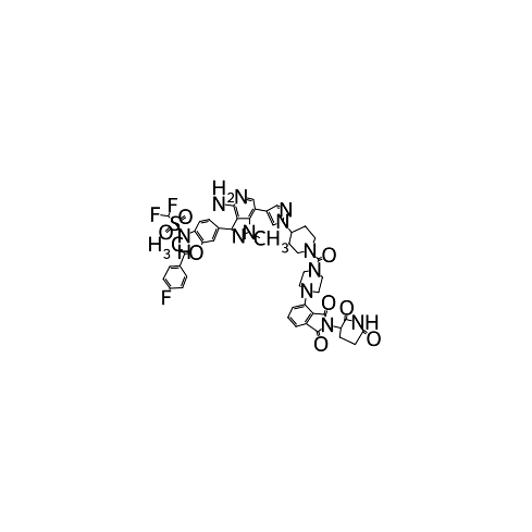 CC(Oc1cc(-c2nn(C)c3c(-c4cnn(C5CCN(C(=O)N6CCN(c7cccc8c7C(=O)N(C7CCC(=O)NC7=O)C8=O)CC6)CC5)c4)cnc(N)c23)ccc1NS(=O)(=O)C(F)F)c1ccc(F)cc1